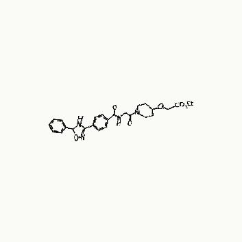 CCOC(=O)COC1CCN(C(=O)CNC(=O)c2ccc(C3=NOC(c4ccccc4)N3)cc2)CC1